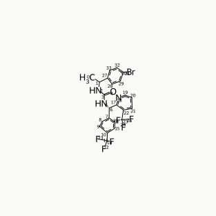 CC(NC(=O)N[C@@H](c1ccc(C(F)(F)F)cc1)c1ncccc1C(F)(F)F)c1ccc(Br)cc1